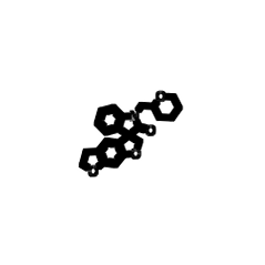 O=C1N(CC2CCCCO2)c2ccccc2C12COc1cc3c(cc12)CCO3